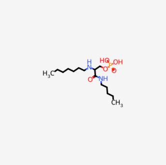 CCCCCCCNC(COP(=O)(O)O)C(=O)NCCCCC